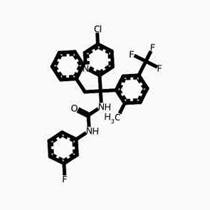 Cc1ccc(C(F)(F)F)cc1C(Cc1ccccc1)(NC(=O)Nc1cccc(F)c1)c1ccc(Cl)cn1